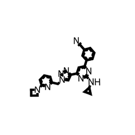 N#Cc1cccc(-c2cc(-c3cn(Cc4cccc(N5CCC5)n4)nn3)nc(NC3CC3)n2)c1